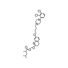 CC(C)CC(C)C(=O)OCOC1=Nc2cc(OCCCCN3CCN(c4cccc(Cl)c4Cl)CC3)ccc2CC1